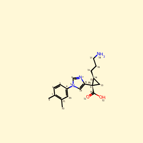 Cc1ccc(-n2cnc([C@@]3(C(=O)O)C[C@@H]3CCCN)c2)cc1C